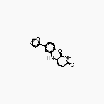 O=C1CCC(Nc2cccc(-c3cnco3)c2)C(=O)N1